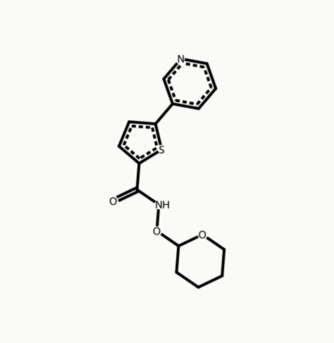 O=C(NOC1CCCCO1)c1ccc(-c2cccnc2)s1